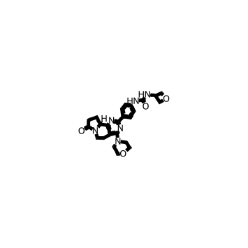 O=C(Nc1ccc(-c2nc3c(c(N4CCOCC4)n2)CCN2C(=O)CC[C@@H]32)cc1)NC1COC1